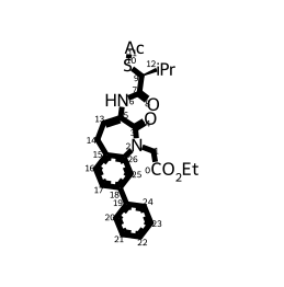 CCOC(=O)CN1C(=O)C(NC(=O)[C@@H](SC(C)=O)C(C)C)=CCc2ccc(-c3ccccc3)cc21